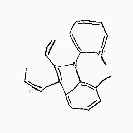 C=Cc1c(/C=C\C)c2cccc(C)c2n1-c1cccc[n+]1C